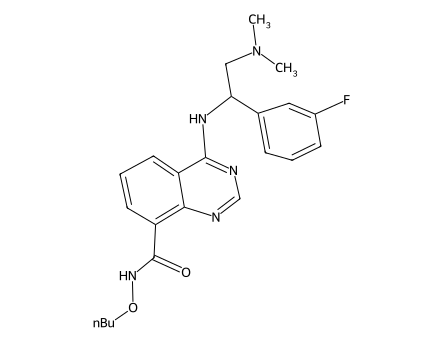 CCCCONC(=O)c1cccc2c(NC(CN(C)C)c3cccc(F)c3)ncnc12